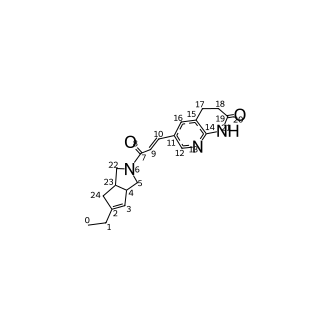 CCC1=CC2CN(C(=O)/C=C/c3cnc4c(c3)CCC(=O)N4)CC2C1